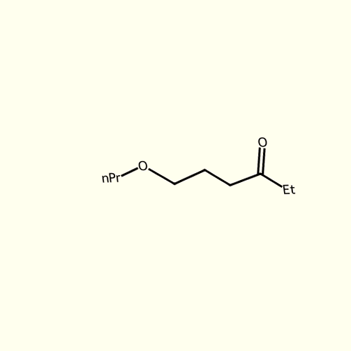 CCCOCCCC(=O)CC